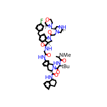 CNC(C)C(=O)NC(C(=O)N1Cc2cc(NC(=O)CNC(=O)[C@]3(C)CN(C(=O)CN4C[C@@H](C)NC[C@@H]4CN4CCOC[C@H]4C)c4cc(Cc5ccc(F)cc5)ccc43)ccc2C[C@H]1C(=O)N[C@@H]1CCCc2ccccc21)C(C)(C)C